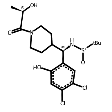 C[C@@H](O)C(=O)N1CCC([C@@H](N[S+]([O-])C(C)(C)C)c2cc(Cl)c(Cl)cc2O)CC1